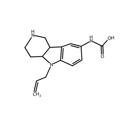 C=CCN1c2ccc(NC(=O)O)cc2C2CNCCC21